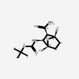 CC(C)(C)OC(=O)N[C@H]1[C@@H](C(N)=O)[C@@H]2CC[C@H]1O2